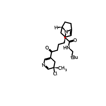 CC(C)(C)CNC(=O)CN1C2=C[C@@H](CCCC(=O)C3=CN=C[C@@](C)(Cl)C3)C[C@@H]1CC2